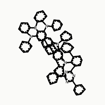 c1ccc(-c2nc(-c3ccccc3)nc(-c3cccc(-c4cccc(-c5cccc(-c6cc7c8c(c6)N(c6ccccc6)c6ccccc6B8c6ccccc6N7c6ccccc6)c5)c4)c3-n3c4ccccc4c4cc5c6ccccc6n(-c6ccccc6)c5cc43)n2)cc1